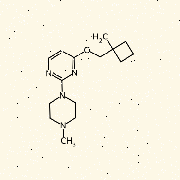 [CH2]C1(COc2ccnc(N3CCN(C)CC3)n2)CCC1